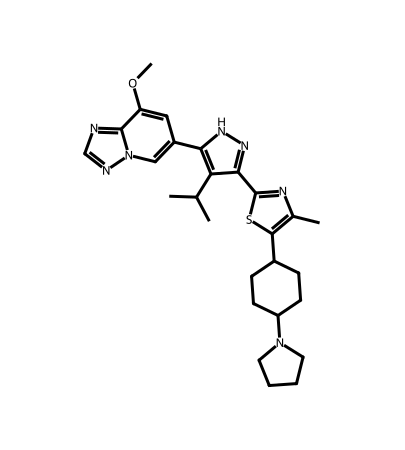 COc1cc(-c2[nH]nc(-c3nc(C)c(C4CCC(N5CCCC5)CC4)s3)c2C(C)C)cn2ncnc12